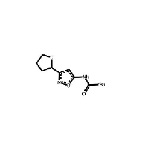 CC(C)(C)C(=O)Nc1cc(C2CCCO2)no1